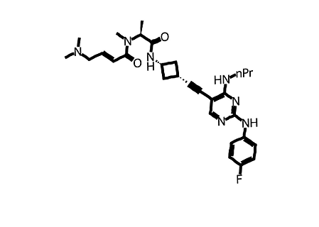 CCCNc1nc(Nc2ccc(F)cc2)ncc1C#C[C@H]1C[C@@H](NC(=O)[C@H](C)N(C)C(=O)/C=C/CN(C)C)C1